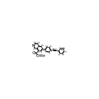 COC(=O)c1cc(-c2ccc(C#Cc3cccnc3)cc2)cc2ccncc12